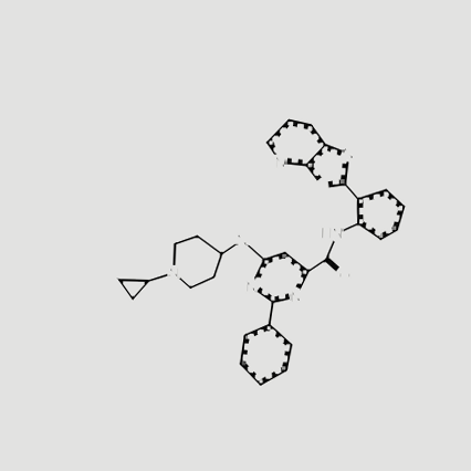 O=C(Nc1ccccc1-c1nc2cccnc2s1)c1cc(NC2CCN(C3CC3)CC2)nc(-c2ccccc2)n1